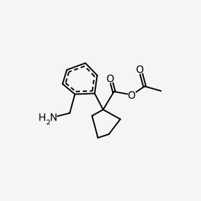 CC(=O)OC(=O)C1(c2ccccc2CN)CCCC1